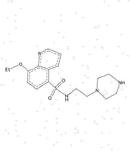 CCOc1ccc(S(=O)(=O)NCCN2CCNCC2)c2cccnc12